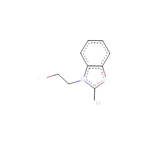 Cc1oc2ccccc2[n+]1CCO